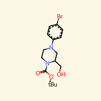 CC(C)(C)OC(=O)N1CCN(c2ccc(Br)cc2)CC1CO